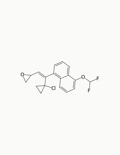 FC(F)Oc1cccc2c(C(=CC3CO3)C3(Cl)CC3)cccc12